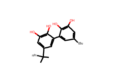 CCCC(C)(C)c1cc(O)c(O)c(-c2cc(C(C)(C)C)cc(O)c2O)c1